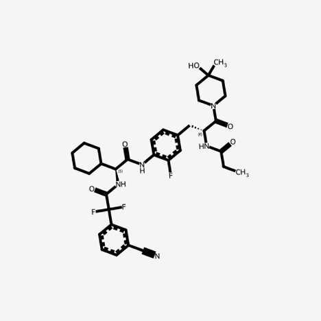 CCC(=O)N[C@H](Cc1ccc(NC(=O)[C@@H](NC(=O)C(F)(F)c2cccc(C#N)c2)C2CCCCC2)c(F)c1)C(=O)N1CCC(C)(O)CC1